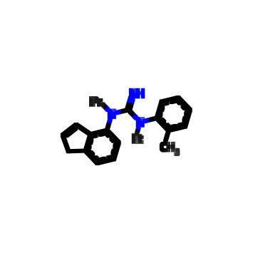 CCN(C(=N)N(c1cccc2c1C=CC2)C(C)C)c1ccccc1C